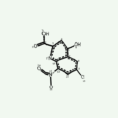 O=C(O)c1cc(O)c2cc(Cl)cc([N+](=O)[O-])c2n1